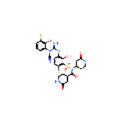 N#CN(C(=N)Nc1ccc(Cl)c(S(=O)(=O)N(C(=O)C2CCNC(=O)C2)C2CCNC(=O)C2)c1O)c1cccc(F)c1Br